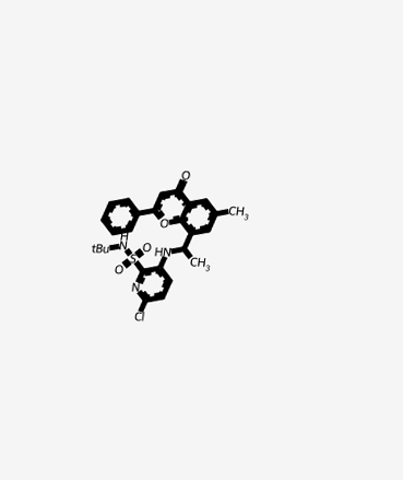 Cc1cc(C(C)Nc2ccc(Cl)nc2S(=O)(=O)NC(C)(C)C)c2oc(-c3ccccc3)cc(=O)c2c1